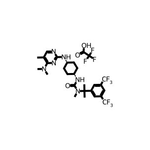 Cc1cnc(N[C@H]2CC[C@@H](NC(=O)N(C)C(C)(C)c3cc(C(F)(F)F)cc(C(F)(F)F)c3)CC2)nc1N(C)C.O=C(O)C(F)(F)F